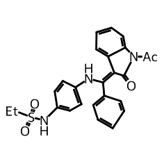 CCS(=O)(=O)Nc1ccc(NC(=C2C(=O)N(C(C)=O)c3ccccc32)c2ccccc2)cc1